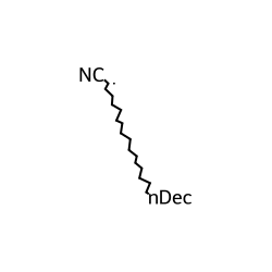 CCCCCCCCCCCCCCCCCCCCCCCCC[CH]C#N